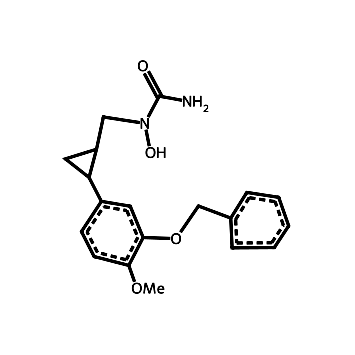 COc1ccc(C2CC2CN(O)C(N)=O)cc1OCc1ccccc1